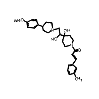 COc1ccc(C2CCN(CC(O)C3(O)CCN(C(=O)/C=C/c4cccc(C)c4)CC3)CC2)cc1